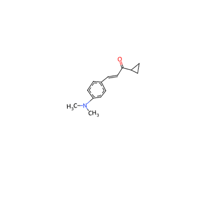 CN(C)c1ccc(/C=C/C(=O)C2CC2)cc1